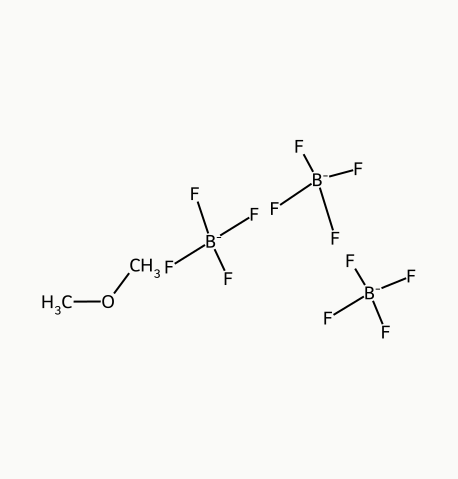 COC.F[B-](F)(F)F.F[B-](F)(F)F.F[B-](F)(F)F